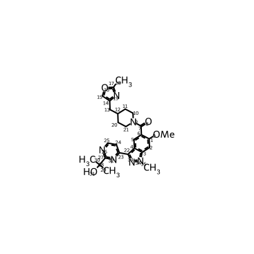 COc1cc2c(cc1C(=O)N1CCC(Cc3coc(C)n3)CC1)c(-c1ccnc(C(C)(C)O)n1)nn2C